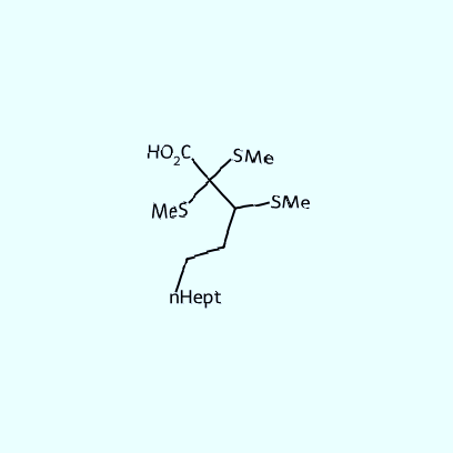 CCCCCCCCCC(SC)C(SC)(SC)C(=O)O